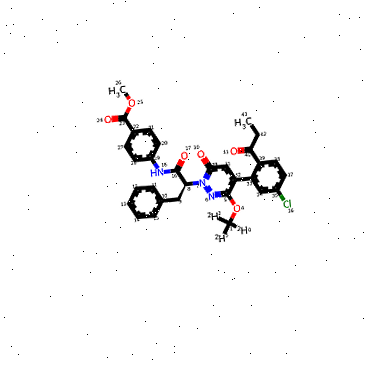 [2H]C([2H])([2H])Oc1nn([C@@H](Cc2ccccc2)C(=O)Nc2ccc(C(=O)OC)cc2)c(=O)cc1-c1cc(Cl)ccc1C(=O)CC